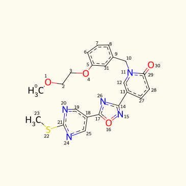 COCCOc1cccc(Cn2cc(-c3noc(-c4cnc(SC)nc4)n3)ccc2=O)c1